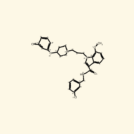 COc1cccc2c(C(=O)NCc3cccc(Cl)c3)cn(CCCN3CCC(Oc4cccc(Cl)c4)CC3)c12